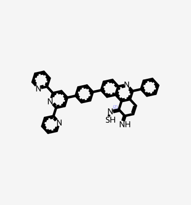 N=C1C=Cc2c(-c3ccccc3)nc3ccc(-c4ccc(-c5cc(-c6ccccn6)nc(-c6ccccn6)c5)cc4)cc3c2/C1=N/S